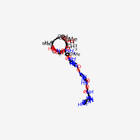 CO[C@H]1C[C@@H]2CC[C@@H](C)[C@@](O)(O2)C(=O)C(=O)N2CCCC[C@H]2C(=O)O[C@H]([C@H](N)C[C@@H]2CC[C@@H](OC(=O)NCc3cnc(N4CCN(C(=O)CCOCCN5CCN(c6ncc(C(=O)NCCOCCC(=O)NCCCCn7nc(-c8cnc9[nH]ccc9c8)c8c(N)ncnc87)cn6)CC5)CC4)nc3)[C@H](OC)C2)CC(=O)[C@H](C)/C=C(\C)[C@@H](O)[C@@H](OC)C(=O)[C@H](C)C[C@H](C)/C=C/C=C/C=C/1C